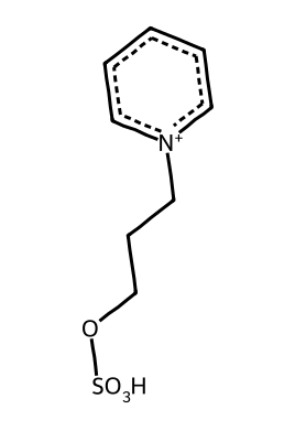 O=S(=O)(O)OCCC[n+]1ccccc1